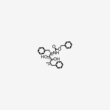 C[C@H](Cc1ccccc1)[C@H](O)[C@@H](O)[C@@H](Cc1ccccc1)NC(=O)OCc1ccccc1